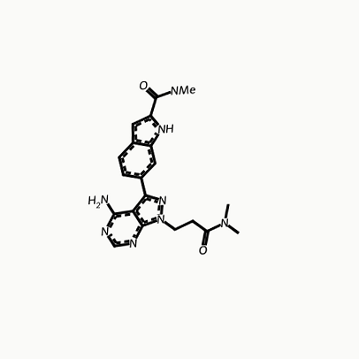 CNC(=O)c1cc2ccc(-c3nn(CCC(=O)N(C)C)c4ncnc(N)c34)cc2[nH]1